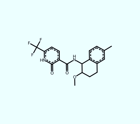 COC1CCc2cc(C)ccc2C1NC(=O)c1ccc(C(F)(F)F)[nH]c1=O